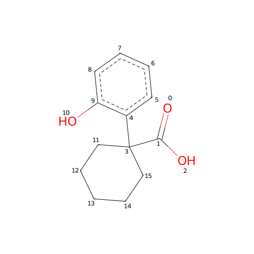 O=C(O)C1(c2ccccc2O)CCCCC1